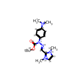 CN(C)c1ccc(N(/N=C/c2n(C)cc[n+]2C)C(=O)OC(C)(C)C)cc1